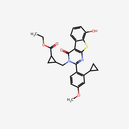 CCOC(=O)C1CC1Cn1c(-c2ccc(OC)cc2C2CC2)nc2sc3c(O)cccc3c2c1=O